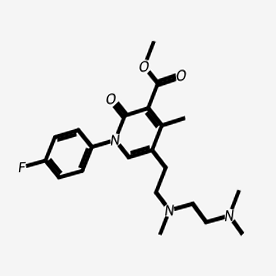 COC(=O)c1c(C)c(CCN(C)CCN(C)C)cn(-c2ccc(F)cc2)c1=O